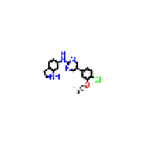 COc1cc(-c2cnc(Nc3ccc4c(c3)NCC4)nc2)ccc1Cl